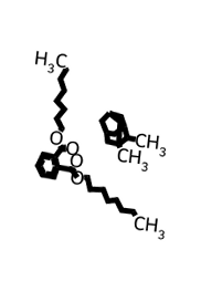 CC1C2CC3CC(C2)CC1(C)C3.CCCCCCCCOC(=O)c1ccccc1C(=O)OCCCCCCCC